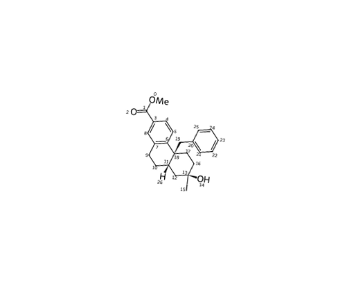 COC(=O)c1ccc2c(c1)CC[C@H]1C[C@@](O)(I)CC[C@@]21Cc1ccccc1